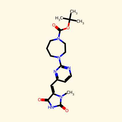 CN1C(=O)NC(=O)/C1=C/c1ccnc(N2CCCN(C(=O)OC(C)(C)C)CC2)n1